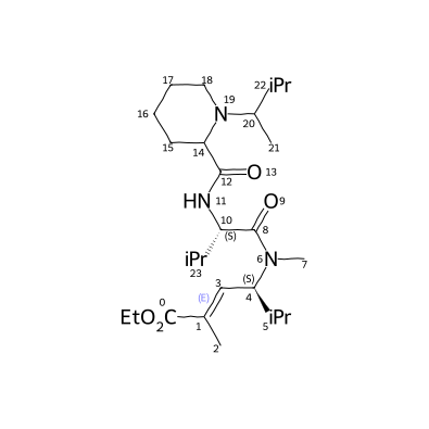 CCOC(=O)/C(C)=C/[C@H](C(C)C)N(C)C(=O)[C@@H](NC(=O)C1CCCCN1C(C)C(C)C)C(C)C